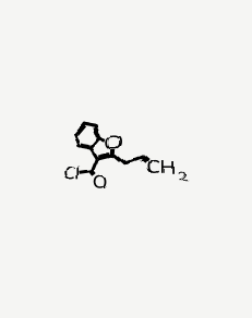 C=CCc1oc2ccccc2c1C(=O)Cl